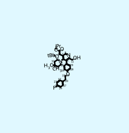 CC(C)OC(=O)[C@@H](OC(C)(C)C)c1cnc(CO)c(-c2ccc(OCCc3ccc(F)cc3)cc2)c1N1CCC(C)(C)CC1